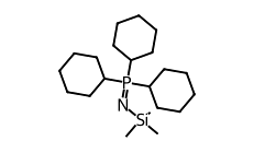 C[Si](C)(C)N=P(C1CCCCC1)(C1CCCCC1)C1CCCCC1